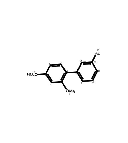 COc1cc(C(=O)O)ccc1-c1cccc(C(C)=O)c1